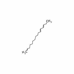 C=CCCCCCCCCC=CC=CCC